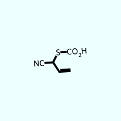 C=CC(C#N)SC(=O)O